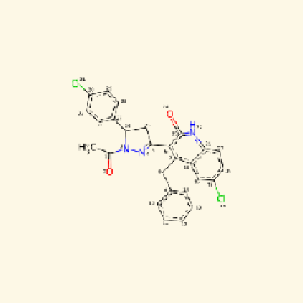 CC(=O)N1N=C(c2c(Cc3ccccc3)c3cc(Cl)ccc3[nH]c2=O)CC1c1ccc(Cl)cc1